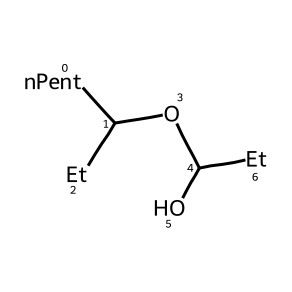 CCCCCC(CC)OC(O)CC